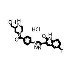 Cl.O=C(c1ccc(-n2cc(-c3cc4cc(F)ccc4[nH]c3=O)nn2)cc1)N1CCNC(CO)C1